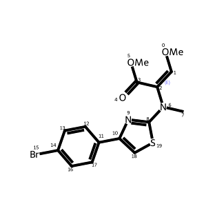 CO/C=C(\C(=O)OC)N(C)c1nc(-c2ccc(Br)cc2)cs1